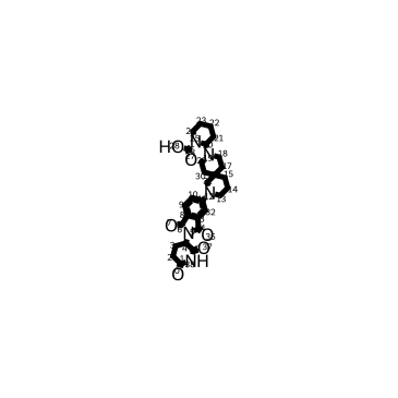 O=C1CCC(N2C(=O)c3ccc(N4CCCC5(CCN(C6CCCCN6C(=O)O)CC5)C4)cc3C2=O)C(=O)N1